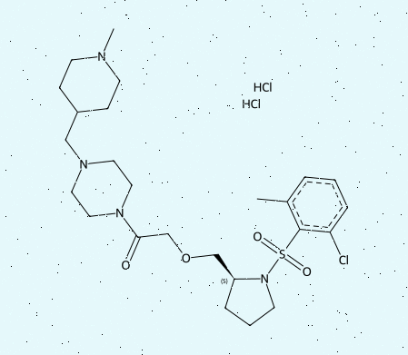 Cc1cccc(Cl)c1S(=O)(=O)N1CCC[C@H]1COCC(=O)N1CCN(CC2CCN(C)CC2)CC1.Cl.Cl